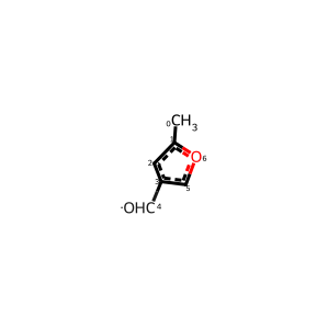 Cc1cc([C]=O)co1